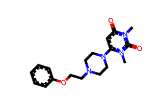 Cn1c(N2CCN(CCOc3ccccc3)CC2)cc(=O)n(C)c1=O